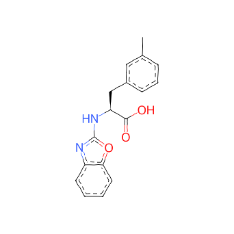 Cc1cccc(C[C@H](Nc2nc3ccccc3o2)C(=O)O)c1